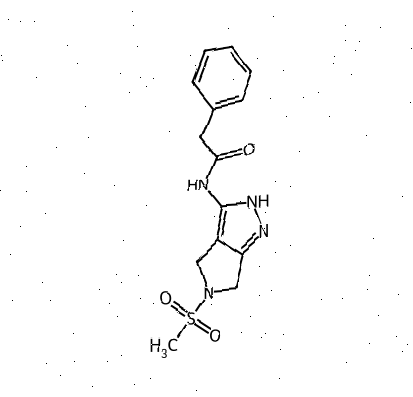 CS(=O)(=O)N1Cc2n[nH]c(NC(=O)Cc3ccccc3)c2C1